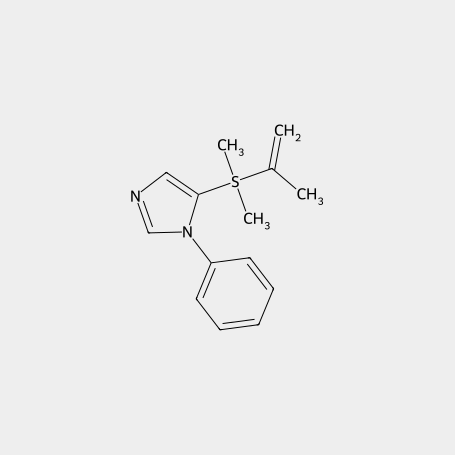 C=C(C)S(C)(C)c1cncn1-c1ccccc1